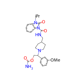 COc1cccc(C(COC(N)=O)N2CCC(CNC(=O)n3c(=O)n(C(C)C)c4ccccc43)CC2)c1